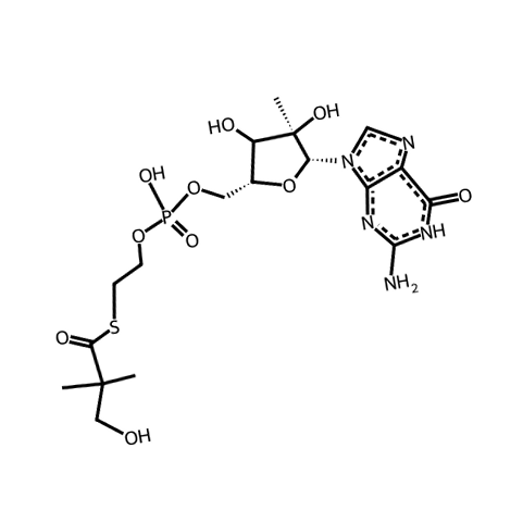 CC(C)(CO)C(=O)SCCOP(=O)(O)OC[C@H]1O[C@@H](n2cnc3c(=O)[nH]c(N)nc32)[C@](C)(O)C1O